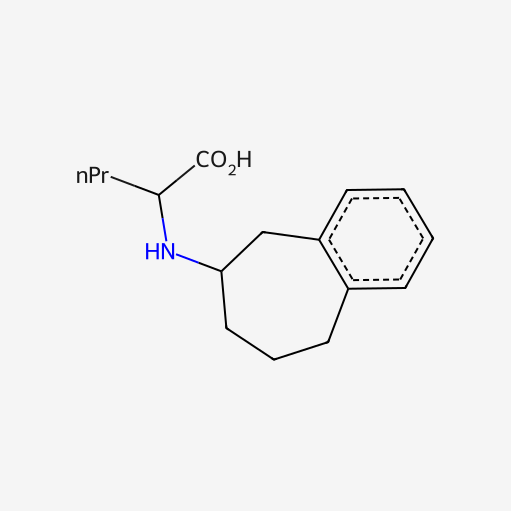 CCCC(NC1CCCc2ccccc2C1)C(=O)O